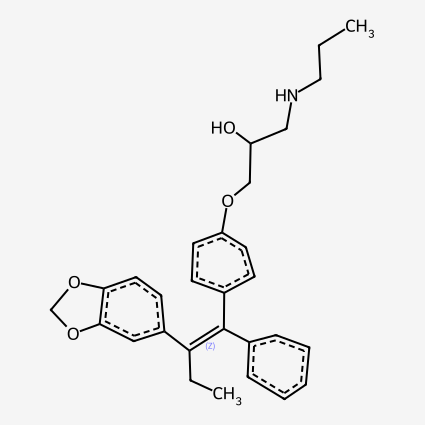 CCCNCC(O)COc1ccc(/C(=C(/CC)c2ccc3c(c2)OCO3)c2ccccc2)cc1